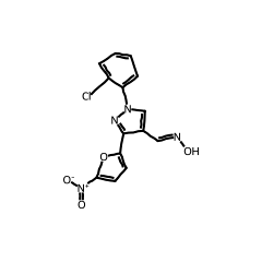 O=[N+]([O-])c1ccc(-c2nn(-c3ccccc3Cl)cc2C=NO)o1